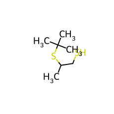 CC(CS)SC(C)(C)C